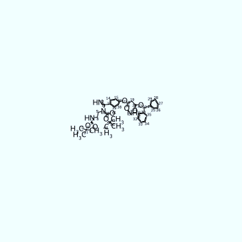 CC(C)(C)OC(=O)NCCN(C(=N)c1ccc(OC(CC(=O)OC(c2ccccc2)c2ccccc2)ON)cc1)C(=O)OC(C)(C)C